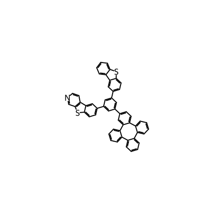 c1ccc2c(c1)-c1ccccc1-c1ccc(-c3cc(-c4ccc5sc6ccccc6c5c4)cc(-c4ccc5sc6cnccc6c5c4)c3)cc1-c1ccccc1-2